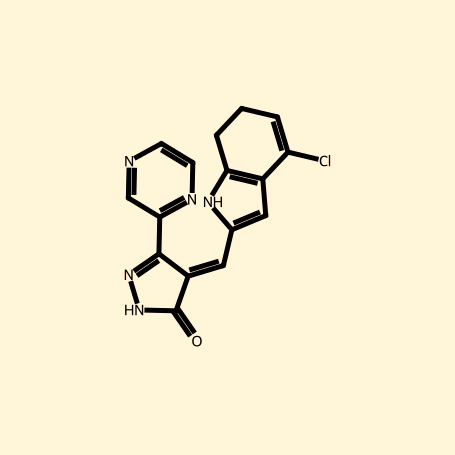 O=C1NN=C(c2cnccn2)/C1=C\c1cc2c([nH]1)CCC=C2Cl